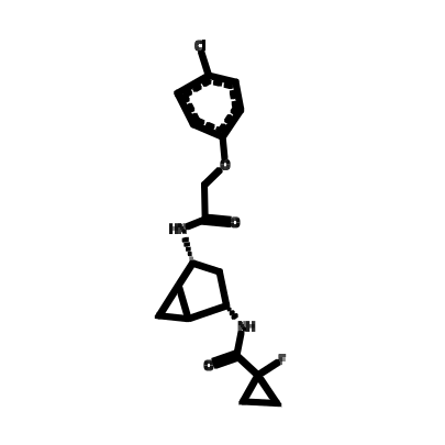 O=C(COc1ccc(Cl)cc1)N[C@@H]1C[C@H](NC(=O)C2(F)CC2)C2CC21